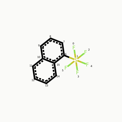 FS(F)(F)(F)(F)c1cccc2ccccc12